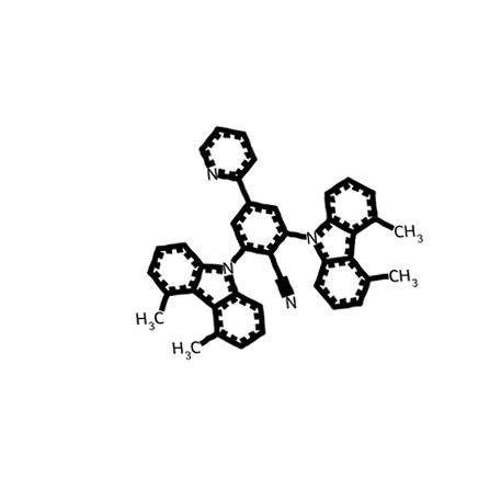 Cc1cccc2c1c1c(C)cccc1n2-c1cc(-c2ccccn2)cc(-n2c3cccc(C)c3c3c(C)cccc32)c1C#N